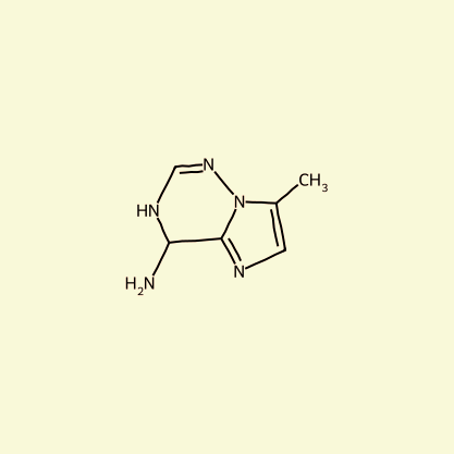 Cc1cnc2n1N=CNC2N